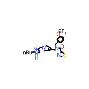 CCCCc1nc(CN2CC3C(C2)C3CN(Cc2cccc(OC(F)(F)F)c2)C(=O)c2cscn2)c[nH]1